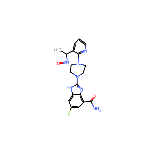 CC(N=O)c1cccnc1N1CCN(c2nc3c(C(N)=O)cc(F)cc3[nH]2)CC1